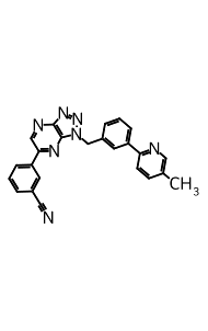 Cc1ccc(-c2cccc(Cn3nnc4ncc(-c5cccc(C#N)c5)nc43)c2)nc1